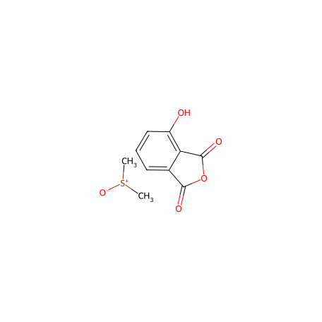 C[S+](C)[O-].O=C1OC(=O)c2c(O)cccc21